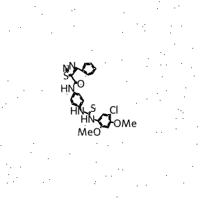 COc1cc(OC)c(NC(=S)Nc2ccc(NC(=O)c3snnc3-c3ccccc3)cc2)cc1Cl